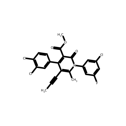 CC#Cc1c(-c2ccc(Cl)c(Cl)c2)c(C(=O)OC)c(=O)n(-c2cc(F)cc(Cl)c2)c1C